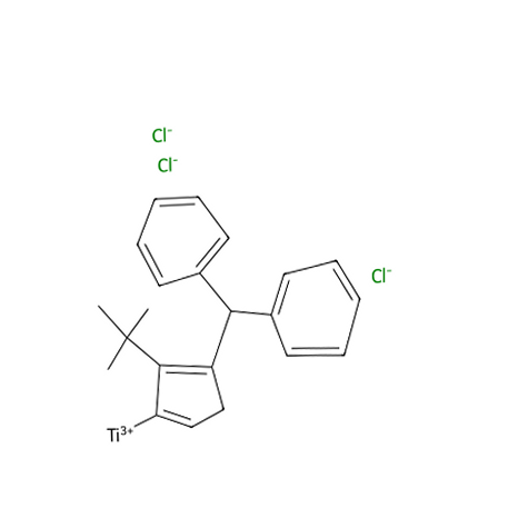 CC(C)(C)C1=C(C(c2ccccc2)c2ccccc2)CC=[C]1[Ti+3].[Cl-].[Cl-].[Cl-]